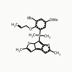 C=CCOc1c(C(C)(C)C)cc(OC)cc1[Si](C)(C)C1=c2sc(C)cc2=C2C=C(C)SC21